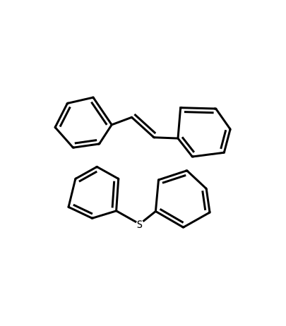 C(=Cc1ccccc1)c1ccccc1.c1ccc(Sc2ccccc2)cc1